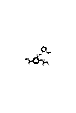 CCN1CCC[C@H]1CNc1cc(C(=O)OC)ccc1NC(=O)CCl